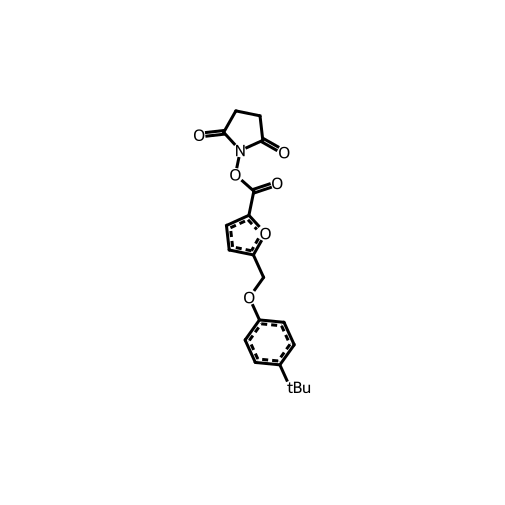 CC(C)(C)c1ccc(OCc2ccc(C(=O)ON3C(=O)CCC3=O)o2)cc1